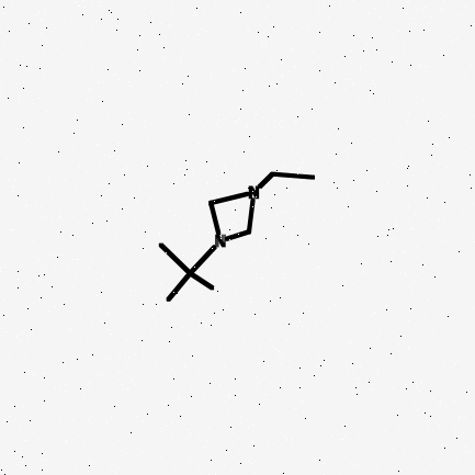 CCN1CN(C(C)(C)C)C1